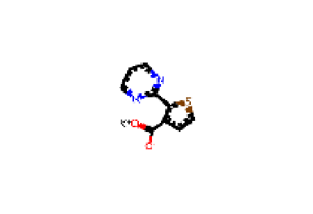 O=C([O-])c1ccsc1-c1ncccn1.[K+]